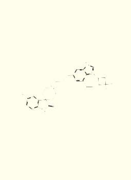 CC1(O)CC(n2cnc3cc(OCCN4CCC5(CC4)C(=O)Nc4ccc(Cl)cc45)cc(C(F)F)c32)C1